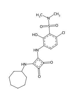 CN(C)S(=O)(=O)c1c(Cl)ccc(Nc2c(NC3CCCCCC3)c(=O)c2=O)c1O